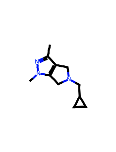 Cc1nn(C)c2c1CN(CC1CC1)C2